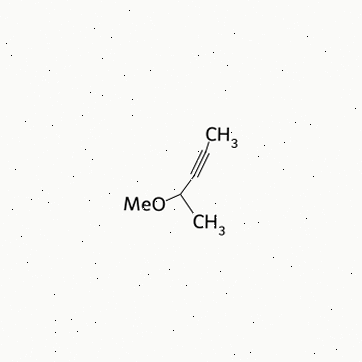 [CH2]OC(C)C#CC